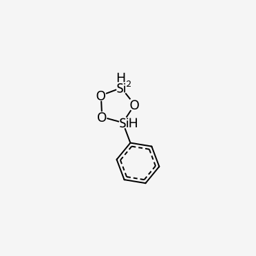 c1ccc([SiH]2OO[SiH2]O2)cc1